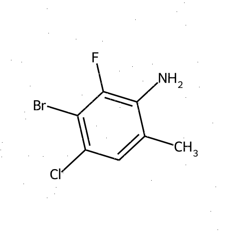 Cc1cc(Cl)c(Br)c(F)c1N